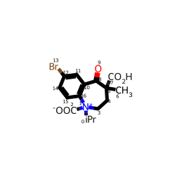 CC(C)[N+]1(C(=O)[O-])CCC(C)(C(=O)O)C(=O)c2cc(Br)ccc21